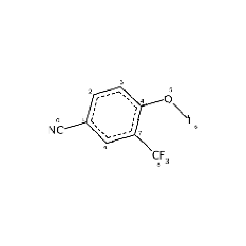 N#Cc1ccc(OI)c(C(F)(F)F)c1